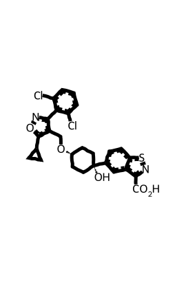 O=C(O)c1nsc2ccc([C@]3(O)CC[C@@H](OCc4c(-c5c(Cl)cccc5Cl)noc4C4CC4)CC3)cc12